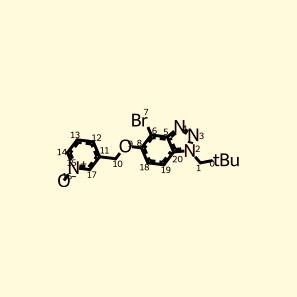 CC(C)(C)Cn1nnc2c(Br)c(OCc3ccc[n+]([O-])c3)ccc21